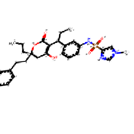 CCC[C@]1(CCc2ccc(F)cc2)CC(O)=C(C(CC)c2cccc(NS(=O)(=O)c3cn(C)cn3)c2)C(=O)O1